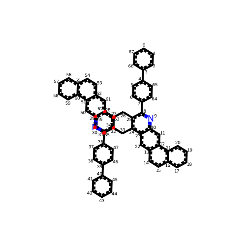 c1ccc(-c2ccc(-c3nc4cc5c(ccc6ccccc65)cc4c4c3C3c5ccccc5C4c4c(-c5ccc(-c6ccccc6)cc5)nc5cc6c(ccc7ccccc76)cc5c43)cc2)cc1